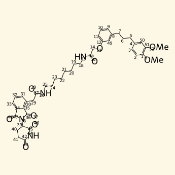 COc1ccc(CCCc2cccc(OCC(=O)NCCCCCCCCNC(=O)Cc3cccc4c3C(=O)N(C3CCC(=O)NC3=O)C4=O)c2)cc1OC